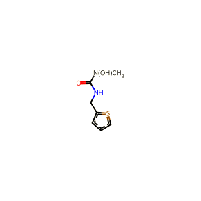 CN(O)C(=O)NCc1cccs1